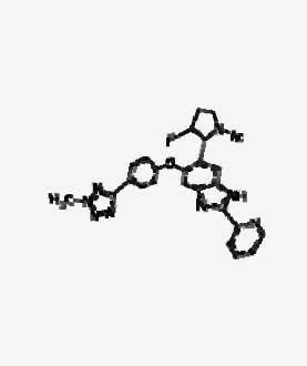 CC(=O)N1CCC(F)C1c1cc2[nH]c(-c3ccccn3)nc2cc1Oc1ccc(-c2nnn(C)n2)cc1